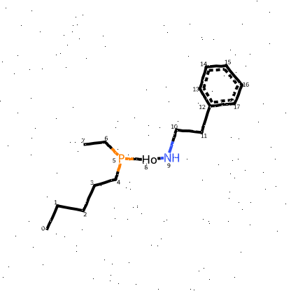 CCCCC[P](CC)[Ho][NH]CCc1ccccc1